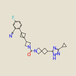 N#Cc1cc(F)ccc1C12CC(C3CN(C(=O)N4CC5(CC(c6nc(C7CC7)n[nH]6)C5)C4)C3)(C1)C2